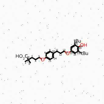 CC(C)(CCCOc1ccc(CCCOc2cc(C(C)(C)C)c(O)c(C(C)(C)C)c2)cc1)C(=O)O